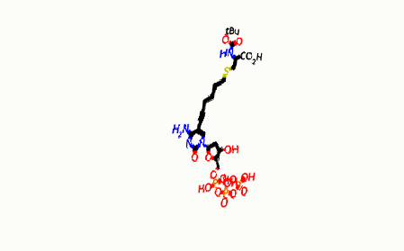 CC(C)(C)OC(=O)NC(CSCCCCC#Cc1cn([C@H]2C[C@@H](O)[C@@H](COP(=O)(O)OP(=O)(O)OP(=O)(O)O)O2)c(=O)nc1N)C(=O)O